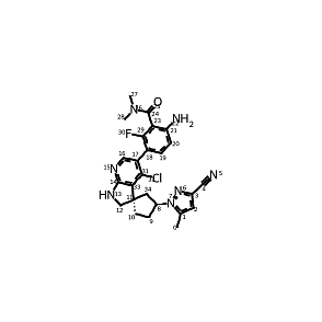 Cc1cc(C#N)nn1[C@H]1CC[C@@]2(CNc3ncc(-c4ccc(N)c(C(=O)N(C)C)c4F)c(Cl)c32)C1